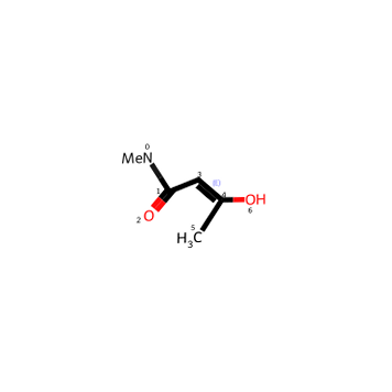 CNC(=O)/C=C(\C)O